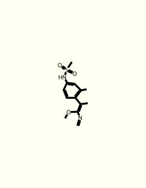 C=N/C(OC)=C(\C)c1ccc(NS(C)(=O)=O)cc1C